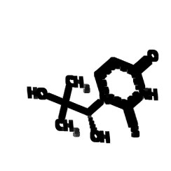 CC(C)(O)[C@@H](O)n1ccc(=O)[nH]c1=S